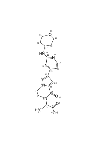 CC(C(=O)O)N1CCn2cc(-c3ccnc(NC4CCOCC4)n3)cc2C1=O